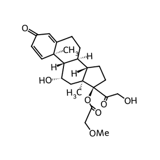 COCC(=O)O[C@]1(C(=O)CO)CC[C@H]2[C@@H]3CCC4=CC(=O)C=C[C@]4(C)[C@H]3[C@@H](O)C[C@@]21C